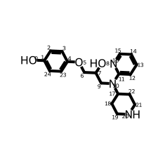 Oc1ccc(OCC(O)CN(c2ccccn2)C2CCNCC2)cc1